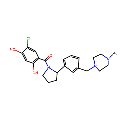 CC(=O)N1CCN(Cc2cccc(C3CCCN3C(=O)c3cc(Cl)c(O)cc3O)c2)CC1